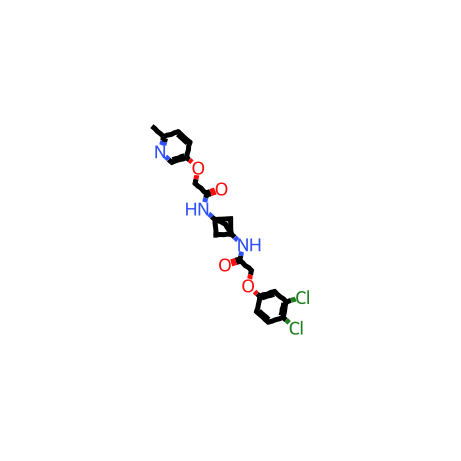 Cc1ccc(OCC(=O)NC23CC(NC(=O)COc4ccc(Cl)c(Cl)c4)(C2)C3)cn1